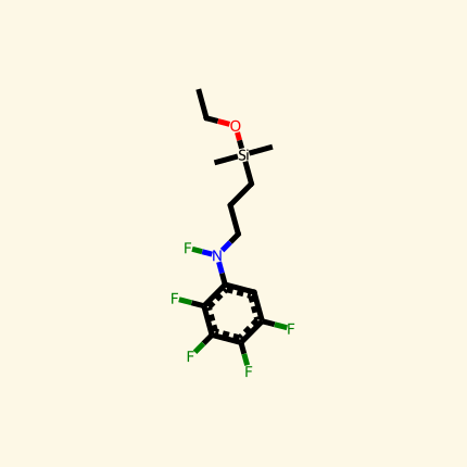 CCO[Si](C)(C)CCCN(F)c1cc(F)c(F)c(F)c1F